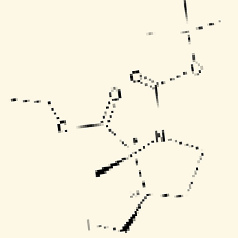 CCOC(=O)[C@@]1(C)[C@H](CF)CCN1C(=O)OC(C)(C)C